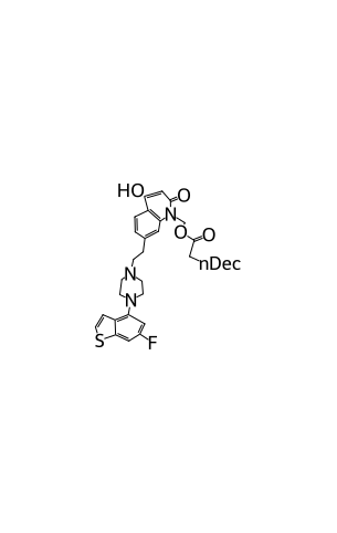 CCCCCCCCCCCC(=O)OCn1c(=O)cc(O)c2ccc(CCN3CCN(c4cc(F)cc5sccc45)CC3)cc21